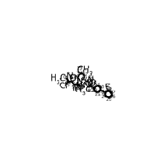 Cc1noc([C@H](C(=O)N2C[C@H](C)C[C@H]2C2=NOC(C)(c3ccc(-c4ccccc4F)cc3)N2)C(C)C)c1Cl